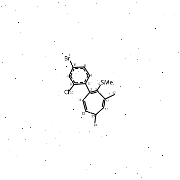 CSC1=C(c2ccc(Br)cc2Cl)C=CC(C)C=C1C